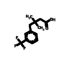 CC(C)(CC(=O)O)Cc1cccc(C(F)(F)F)c1